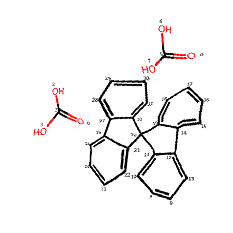 O=C(O)O.O=C(O)O.c1ccc2c(c1)-c1ccccc1C21c2ccccc2-c2ccccc21